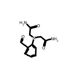 NC(=O)CN(CC(N)=O)c1ccccc1C=O